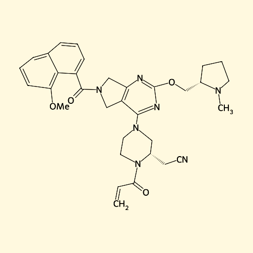 C=CC(=O)N1CCN(c2nc(OC[C@@H]3CCCN3C)nc3c2CN(C(=O)c2cccc4cccc(OC)c24)C3)C[C@@H]1CC#N